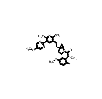 COc1cnc(-c2cc(CC[C@]34CCN(C(=O)[C@H](C)c5cc(OC)ncc5F)C3C4)c(N)nc2C)nc1